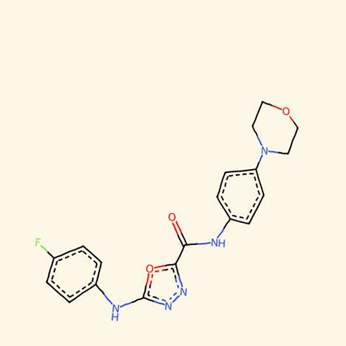 O=C(Nc1ccc(N2CCOCC2)cc1)c1nnc(Nc2ccc(F)cc2)o1